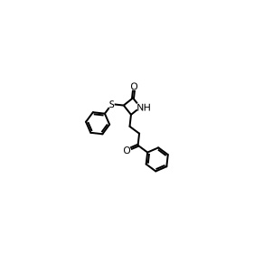 O=C(CCC1NC(=O)C1Sc1ccccc1)c1ccccc1